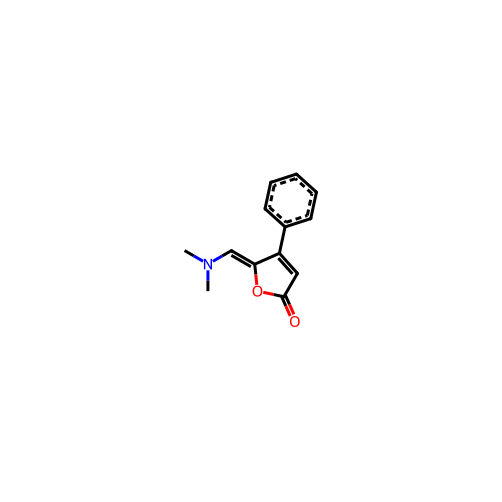 CN(C)C=C1OC(=O)C=C1c1ccccc1